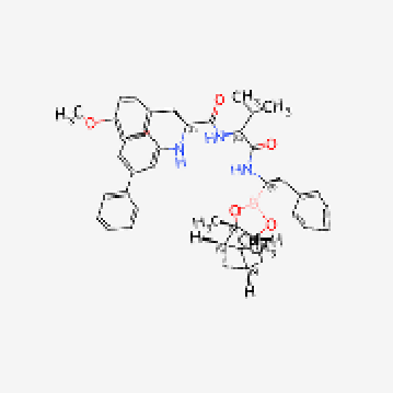 COc1ccc(C[C@H](Nc2cccc(-c3ccccc3)c2)C(=O)N[C@H](C(=O)N[C@@H](Cc2ccccc2)B2O[C@@H]3C[C@@H]4C[C@@H](C4(C)C)[C@]3(C)O2)C(C)C)cc1